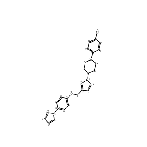 Clc1cnc(N2CCC(n3ncc(COc4ccc(-n5cnnn5)cc4)n3)CC2)nc1